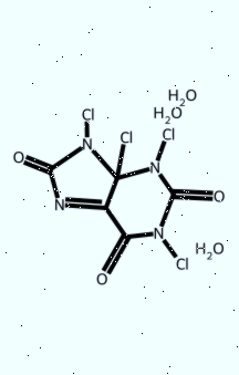 O.O.O.O=C1C2=NC(=O)N(Cl)C2(Cl)N(Cl)C(=O)N1Cl